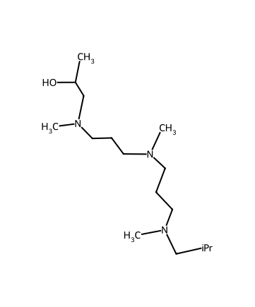 CC(C)CN(C)CCCN(C)CCCN(C)CC(C)O